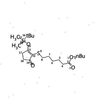 CCCCOC(=O)CCCCCSC1=C(O[Si](C)(C)C(C)(C)C)CCC1=O